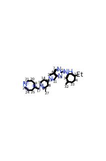 CCC1=CC(Nc2ncc3c(n2)CN([C@@H]2CCN(C/C4=C/C/C=N\C=C/C4)[C@H](C)C2)C3)=CC(C)CC1